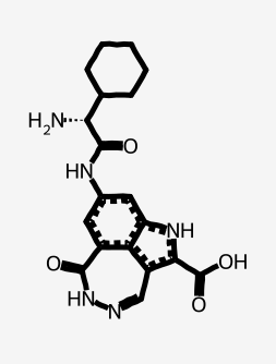 N[C@@H](C(=O)Nc1cc2c3c(c(C(=O)O)[nH]c3c1)C=NNC2=O)C1CCCCC1